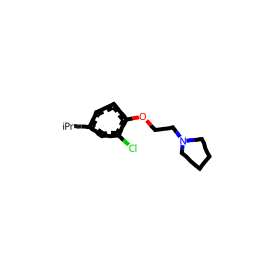 CC(C)c1ccc(OCCN2CCCC2)c(Cl)c1